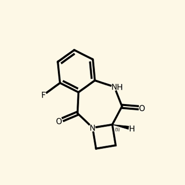 O=C1Nc2cccc(F)c2C(=O)N2CC[C@@H]12